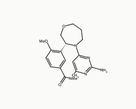 CNC(=O)c1ccc(OC)c([C@@H]2COCCCN2c2cc(C)nc(N)n2)c1